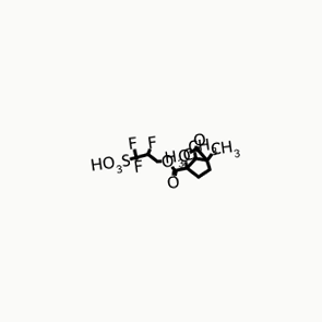 CC12CCC(C(=O)OCC(F)C(F)(F)S(=O)(=O)O)(OC1=O)C2(C)C